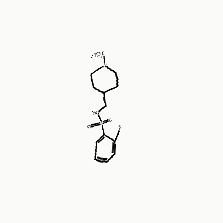 O=C(O)N1CCC(CNS(=O)(=O)c2ccccc2F)CC1